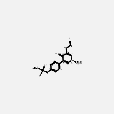 CCCCCCC(I)(I)Cc1ccc(-c2cn(OC)cc(CCCl)c2=S)cc1